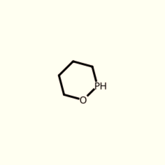 C1CCPOC1